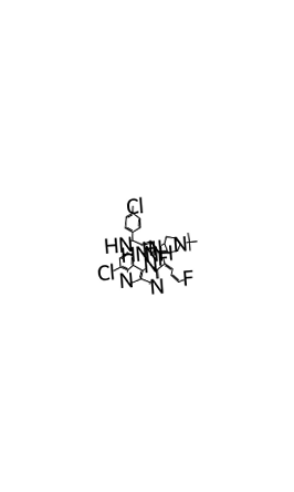 C=C(Nc1c(C#N)cnc2c(Cl)cc(N[C@H](C3=CN(C4CCN(C(C)(C)C)CC4)NN3)c3ccc(Cl)cc3)cc12)/C(F)=C\C=C/F